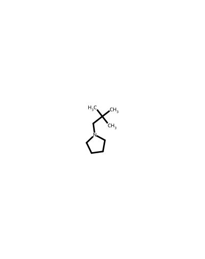 CC(C)(C)CN1CCCC1